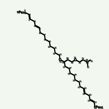 CCCCCC=CCC=CCCCCCCCCOC(CCCCCCCC=CCC=CCCCCC)CCOCCN(C)C